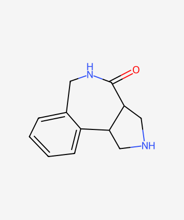 O=C1NCc2ccccc2C2CNCC12